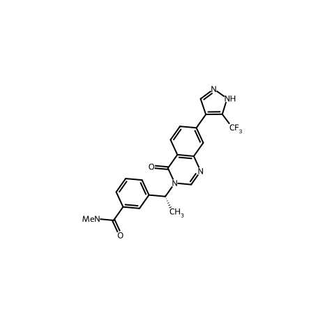 CNC(=O)c1cccc([C@@H](C)n2cnc3cc(-c4cn[nH]c4C(F)(F)F)ccc3c2=O)c1